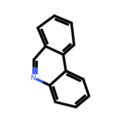 [c]1ccc2c(c1)cnc1ccccc12